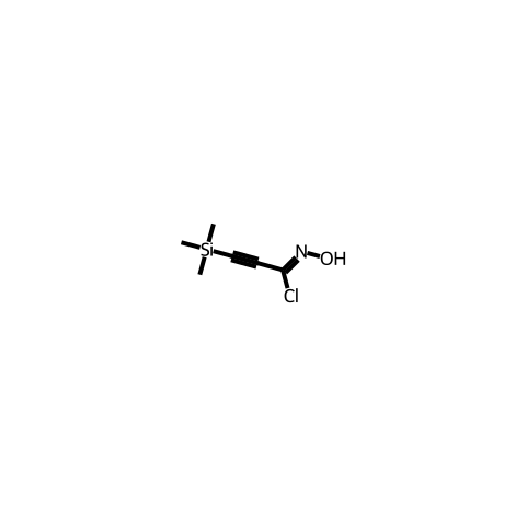 C[Si](C)(C)C#C/C(Cl)=N/O